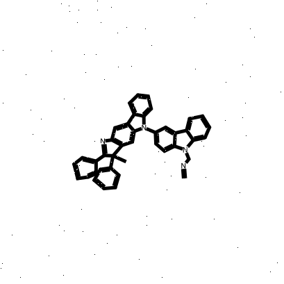 C=NCn1c2ccccc2c2cc(-n3c4ccccc4c4cc5c(cc43)C(C)(c3ccccc3)C(c3ccccc3)=N5)ccc21